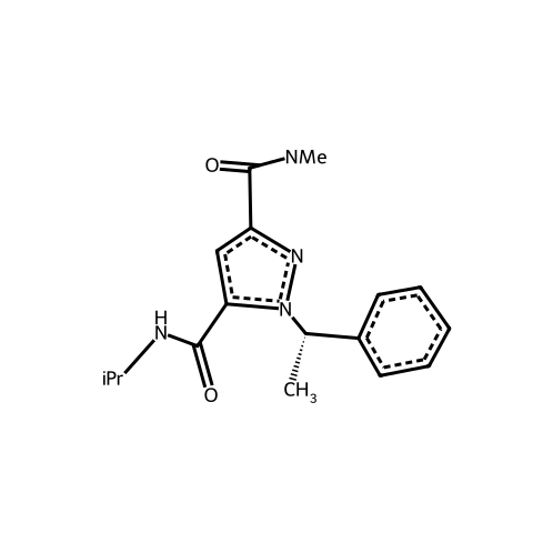 CNC(=O)c1cc(C(=O)NC(C)C)n([C@@H](C)c2ccccc2)n1